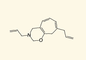 C=CCC1=CC=CC2=C(C1)OCN(CC=C)C2